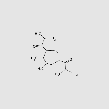 CC(C)C(=O)C1CCC(C(=O)C(C)C)C(C)C(C)C1